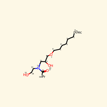 CCCCCCCCCCCCCCCCOCC(O)CN(CCO)C(=O)C(C)C